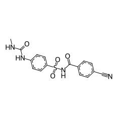 CNC(=O)Nc1ccc(S(=O)(=O)NC(=O)c2ccc(C#N)cc2)cc1